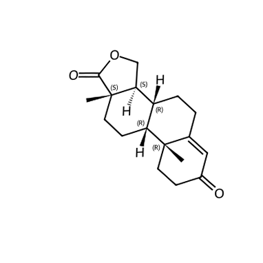 C[C@]12CCC(=O)C=C1CC[C@@H]1[C@H]2CC[C@]2(C)C(=O)OC[C@@H]12